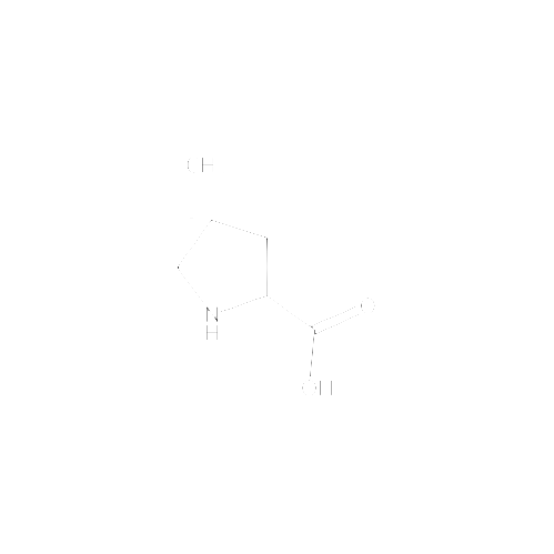 C[C@H]1CNC(C(=O)O)C1